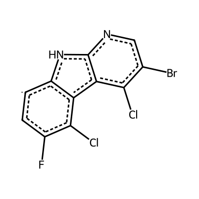 Fc1c[c]c2[nH]c3ncc(Br)c(Cl)c3c2c1Cl